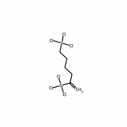 C=C(CCCC[Si](Cl)(Cl)Cl)[Si](Cl)(Cl)Cl